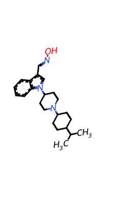 CC(C)C1CCC(N2CCC(n3cc(C=NO)c4ccccc43)CC2)CC1